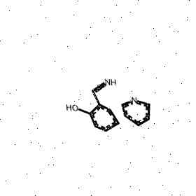 N=Cc1ccccc1O.c1ccncc1